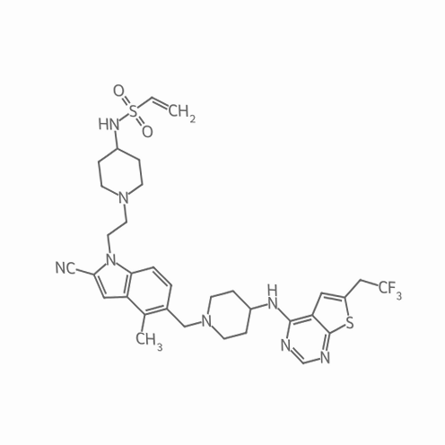 C=CS(=O)(=O)NC1CCN(CCn2c(C#N)cc3c(C)c(CN4CCC(Nc5ncnc6sc(CC(F)(F)F)cc56)CC4)ccc32)CC1